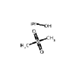 CC(C)O.CS(C)(=O)=O